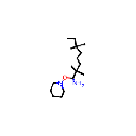 CCC(C)(C)CCCC(C)(C)C(N)ON1CCCCC1